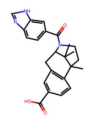 CC12CCN(C(=O)c3ccc4nc[nH]c4c3)C(Cc3cc(C(=O)O)ccc31)C2(C)C